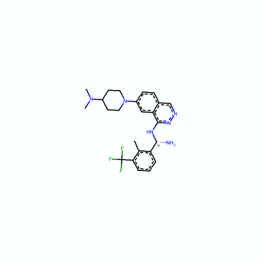 Cc1c([C@@H](N)Nc2nncc3ccc(N4CCC(N(C)C)CC4)cc23)cccc1C(F)(F)F